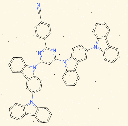 N#Cc1ccc(-c2nc(-n3c4ccccc4c4cc(-n5c6ccccc6c6ccccc65)ccc43)cc(-n3c4ccccc4c4cc(-n5c6ccccc6c6ccccc65)ccc43)n2)cc1